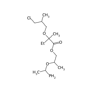 CCC(C)(OCC(C)CCl)C(=O)OCC(C)OC(C)P